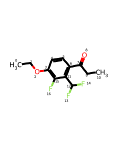 CCOc1ccc(C(=O)CC)c(C(F)F)c1F